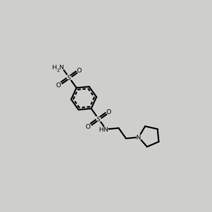 NS(=O)(=O)c1ccc(S(=O)(=O)NCCN2CCCC2)cc1